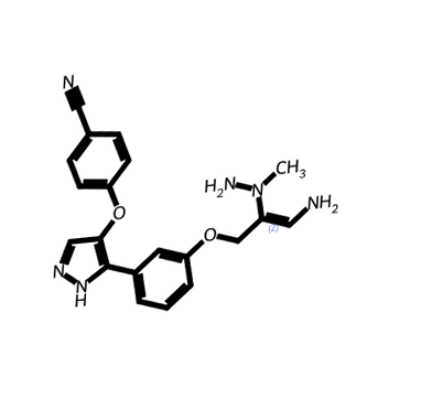 CN(N)/C(=C\N)COc1cccc(-c2[nH]ncc2Oc2ccc(C#N)cc2)c1